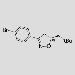 CC(C)(C)C[C@@H]1CC(c2ccc(Br)cc2)=NO1